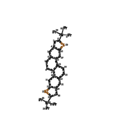 CC(C)[Si](c1cc2cc3ccc4c5cc6sc([Si](C(C)C)(C(C)C)C(C)C)cc6cc5ccc4c3cc2s1)(C(C)C)C(C)C